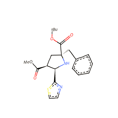 COC(=O)[C@H]1C[C@@](Cc2ccccc2)(C(=O)OC(C)(C)C)N[C@H]1c1nccs1